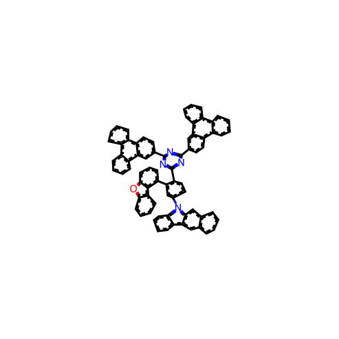 c1ccc2cc3c(cc2c1)c1ccccc1n3-c1ccc(-c2nc(-c3ccc4c5ccccc5c5ccccc5c4c3)nc(-c3ccc4c5ccccc5c5ccccc5c4c3)n2)c(-c2cccc3oc4ccccc4c23)c1